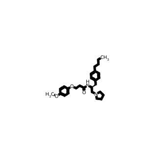 CCCCc1ccc(C[C@@H](CN2CCCC2)NC(=O)CCOc2ccc(OC)cc2)cc1